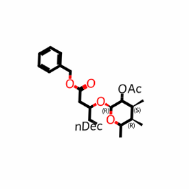 CCCCCCCCCCCC(CC(=O)OCc1ccccc1)O[C@@H]1OC(C)[C@H](C)[C@H](C)C1OC(C)=O